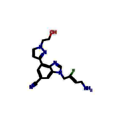 N#Cc1cc(-c2ccn(CCO)n2)c2ncn(C/C(F)=C/CN)c2c1